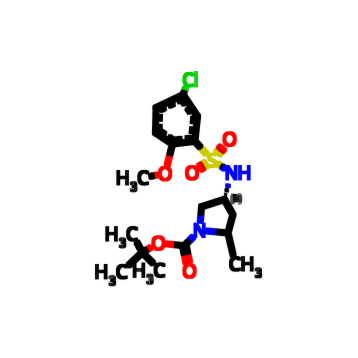 COc1ccc(Cl)cc1S(=O)(=O)N[C@@H]1CC(C)N(C(=O)OC(C)(C)C)C1